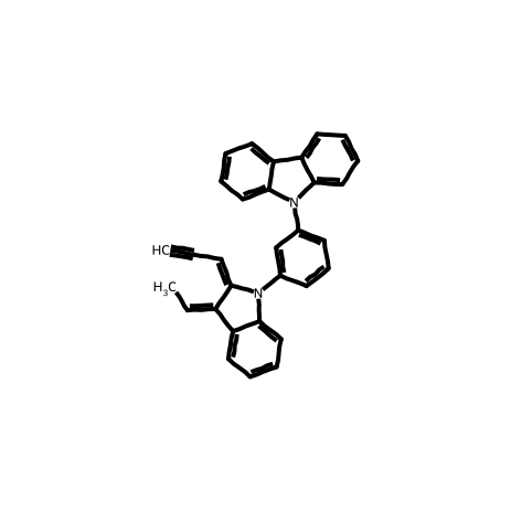 C#C/C=c1\c(=C/C)c2ccccc2n1-c1cccc(-n2c3ccccc3c3ccccc32)c1